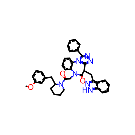 COc1cccc(CC2CCCCN2C(=O)CN2C(=O)C(Cc3n[nH]c4ccccc34)c3nnc(-c4ccccc4)n3-c3ccccc32)c1